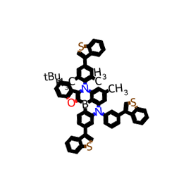 Cc1cc2c3c(c1)N(c1c(C)cc(-c4csc5ccccc45)cc1C)c1c(oc4ccc(C(C)(C)C)cc14)B3c1ccc(-c3csc4ccccc34)cc1N2c1cccc(-c2csc3ccccc23)c1